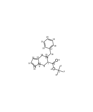 CC(C)(C)OC(=O)C1Cn2nccc2CN1Cc1ccccc1